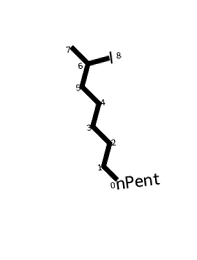 CCCCCCCCCCC(C)I